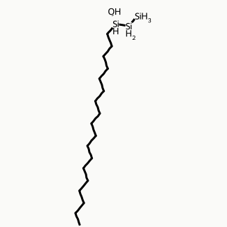 CCCCCCCCCCCCCCCCCC[SiH](O)[SiH2][SiH3]